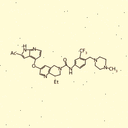 CC[C@H]1CN(C(=O)Nc2ccc(CN3CCN(C)CC3)c(C(F)(F)F)c2)Cc2cc(Oc3ccnc4[nH]c(C(C)=O)cc34)cnc21